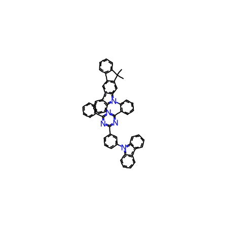 CC1(C)c2ccccc2-c2cc3c4ccccc4n(-c4ccccc4-c4nc(-c5ccccc5)nc(-c5cccc(-n6c7ccccc7c7ccccc76)c5)n4)c3cc21